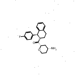 N[C@@H]1CCO[C@H](C(=O)N2CCc3ccccc3[C@@H]2c2ccc(F)cc2)C1